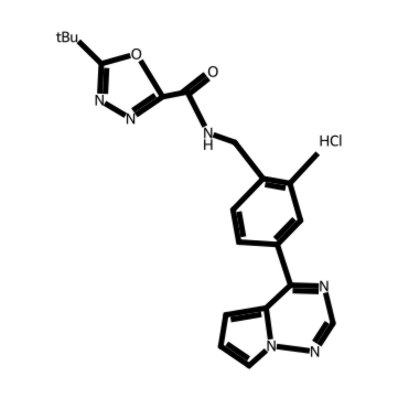 Cc1cc(-c2ncnn3cccc23)ccc1CNC(=O)c1nnc(C(C)(C)C)o1.Cl